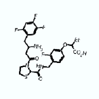 CCC(Oc1ccc(CNC(=O)C2SCCN2C(=O)CC(N)Cc2cc(F)c(F)cc2F)c(F)c1)C(=O)O